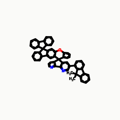 CC1(C)c2ccccc2-c2cccc(-c3cnc4c(c3)C3(c5ccccc5Oc5cc6c(cc53)-c3ccccc3C63c5ccccc5-c5ccccc53)c3cccnc3-4)c21